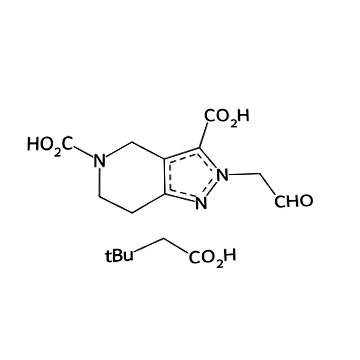 CC(C)(C)CC(=O)O.O=CCn1nc2c(c1C(=O)O)CN(C(=O)O)CC2